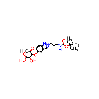 CC(=O)C(Oc1ccc2nn(CCCNC(=O)OC(C)(C)C)cc2c1)[C@@H](O)C(=O)O